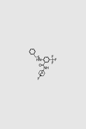 O=C(NC12CCC(F)(CC1)CC2)c1cc(C(F)(F)F)ccc1NSCc1ccccc1